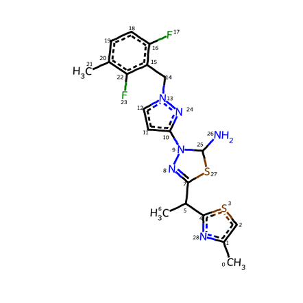 Cc1csc(C(C)C2=NN(c3ccn(Cc4c(F)ccc(C)c4F)n3)C(N)S2)n1